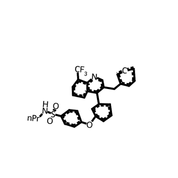 CCCNS(=O)(=O)c1ccc(Oc2cccc(-c3c(Cc4ccccc4)cnc4c(C(F)(F)F)cccc34)c2)cc1